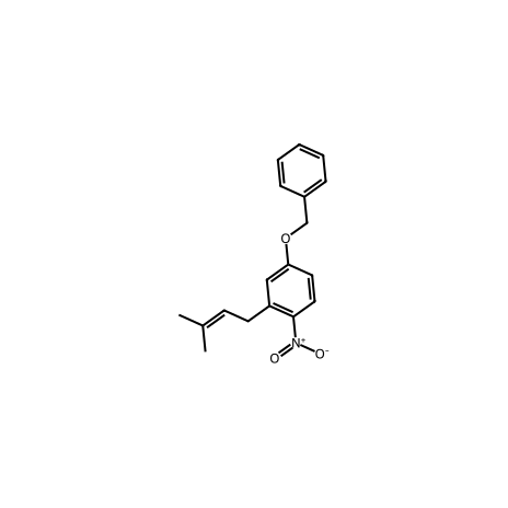 CC(C)=CCc1cc(OCc2ccccc2)ccc1[N+](=O)[O-]